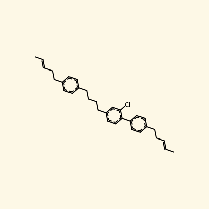 C/C=C/CCc1ccc(CCCCc2ccc(-c3ccc(CC/C=C/C)cc3)c(Cl)c2)cc1